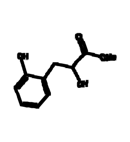 COC(=O)C(O)Cc1ccccc1O